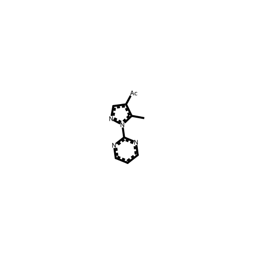 CC(=O)c1cnn(-c2ncccn2)c1C